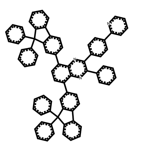 c1ccc(-c2nc3c(-c4ccc5c(c4)C(c4ccccc4)(c4ccccc4)c4ccccc4-5)ccc(-c4ccc5c(c4)C(c4ccccc4)(c4ccccc4)c4ccccc4-5)c3nc2-c2ccc(-c3ccccn3)cc2)cc1